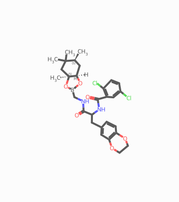 C[C@H]1C[C@H]2OB(CNC(=O)C(Cc3ccc4c(c3)OCCO4)NC(=O)c3cc(Cl)ccc3Cl)O[C@@]2(C)CC1(C)C